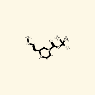 COC=CC1CN(C(=O)OC(C)(C)C)CCO1